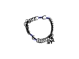 CC(CC(=O)OC1CCCCCCCC/C=C\C/C=C\CCCOC(=O)CC(=O)OCCC/C=C\C/C=C\CCCCCCCC1)C(C)CN(C)C